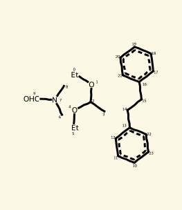 CCOC(C)OCC.CN(C)C=O.c1ccc(CCc2ccccc2)cc1